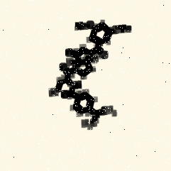 COc1cc(OC)cc(C(=O)N2CC(=O)[C@@H]3[C@H]2CCN3C(=O)[C@H](CC(C)C)NC(=O)c2ccc(N(C)C)cc2)c1